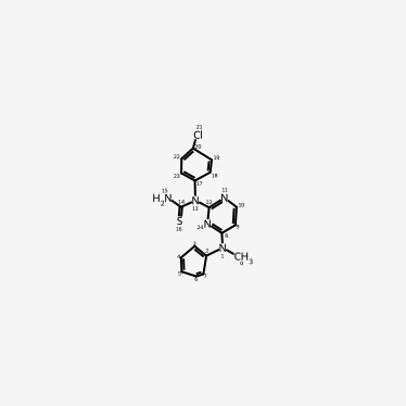 CN(c1ccccc1)c1ccnc(N(C(N)=S)c2ccc(Cl)cc2)n1